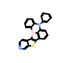 c1ccc(N2c3ccccc3B3c4c(cccc42)-c2sc4cnccc4c23)cc1